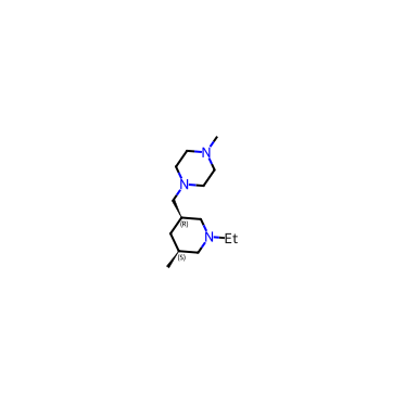 CCN1C[C@@H](C)C[C@@H](CN2CCN(C)CC2)C1